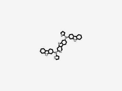 c1csc(N(c2ccc3c(c2)oc2ccccc23)c2ccc3c(c2)sc2cc(N(c4ccc5c(c4)oc4ccccc45)c4cccs4)ncc23)c1